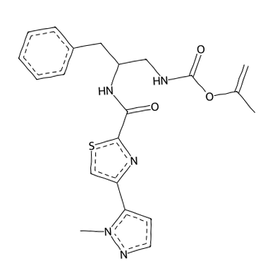 C=C(C)OC(=O)NCC(Cc1ccccc1)NC(=O)c1nc(-c2ccnn2C)cs1